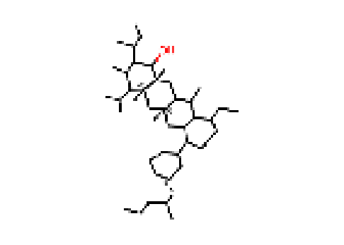 CCCC(C)C[C@@H]1CCCC(C2CCC(CC)C3C(C)C4CC5(C)C(O)C(C(C)CC)C(C)C(C(C)C)[C@@]5(C)C[C@@]4(C)CC23)C1